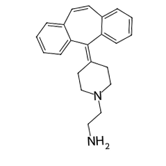 NCCN1CCC(=C2c3ccccc3C=Cc3ccccc32)CC1